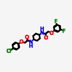 O=C(COc1ccc(Cl)cc1)N[C@H]1CC[C@H](NC(=O)COc2cc(F)cc(F)c2)CC1